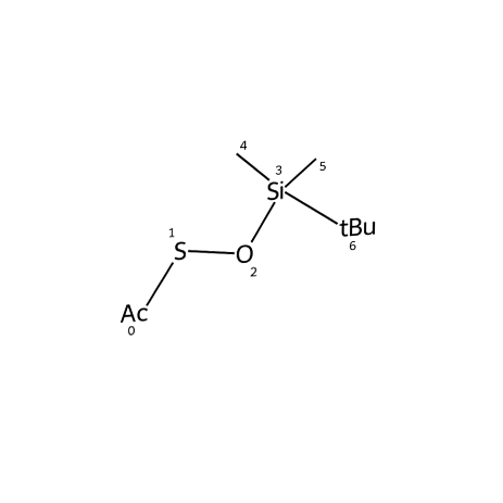 CC(=O)SO[Si](C)(C)C(C)(C)C